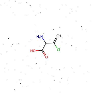 C=C(Cl)C(N)C(=O)O